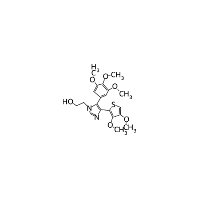 COc1cc(-c2c(-c3scc(OC)c3OC)ncn2CCO)cc(OC)c1OC